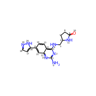 Nc1nc(NCC2CCC(=O)N2)c2ccc(-c3ccn[nH]3)cc2n1